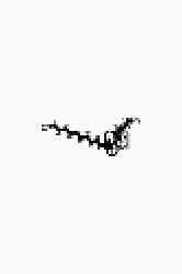 CCCCCCCCCCCC(=O)OC(Cl)CCCC